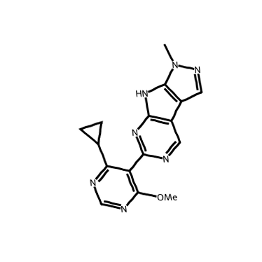 COc1ncnc(C2CC2)c1-c1ncc2c(n1)[nH]c1c2cnn1C